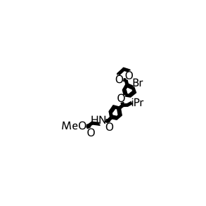 COC(=O)CCNC(=O)c1ccc(C(CC(C)C)Oc2ccc(Br)c(C3OCCCO3)c2)cc1